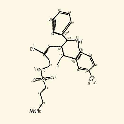 CCC(CNS(=O)(=O)CCCNC)CC1C(C)c2cc(C(F)(F)F)ccc2NC1c1ccccc1